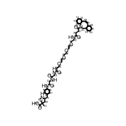 CNC(Cc1ccc(NC(=O)CNC(=O)CNC(=O)CCOCCOCCOCCOCCNC(=O)CCC(=O)N2Cc3ccccc3C#Cc3ccccc32)cc1)CC(C)(C)C(=O)O